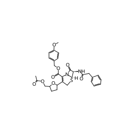 COc1ccc(COC(=O)C2=C(C3CCC(COC(C)=O)O3)CS[C@@H]3[C@H](NC(=O)Cc4ccccc4)C(=O)N23)cc1